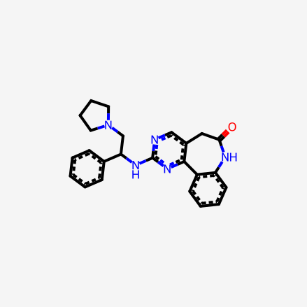 O=C1Cc2cnc(NC(CN3CCCC3)c3ccccc3)nc2-c2ccccc2N1